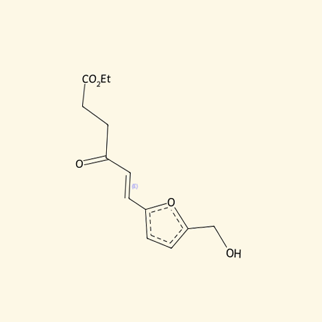 CCOC(=O)CCC(=O)/C=C/c1ccc(CO)o1